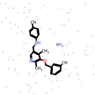 Cc1ncc(CNc2ccc(C#N)cc2)c(C)c1OCc1cccc(C#N)c1.N